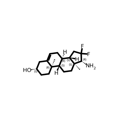 C[C@]12CC[C@H]3[C@@H](CC=C4C[C@@H](O)CC[C@@]43C)[C@@H]1CC(F)(F)[C@@H]2N